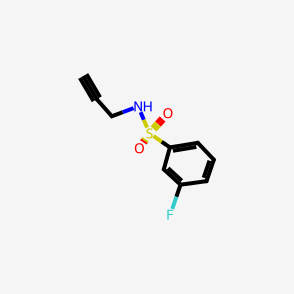 C#CCNS(=O)(=O)c1cccc(F)c1